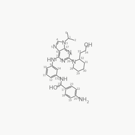 CC(C)n1cnc2c(Nc3cccc(NC(O)c4ccc(N)cc4)c3)nc(N3CCCCC3CCO)nc21